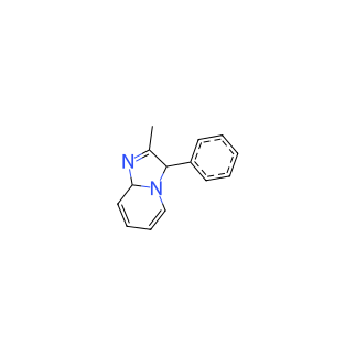 CC1=NC2C=CC=CN2C1c1ccccc1